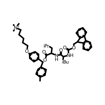 CCC(C)C(NC(=O)OCC1c2ccccc2-c2ccccc21)C(=O)NC(CC(C)C)C(=O)OC(c1ccc(C)cc1)c1ccc(OCCCCC[N+](C)(C)C)cc1